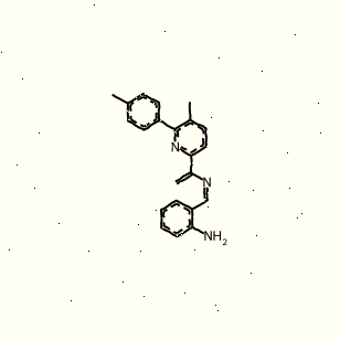 C=C(/N=C\c1ccccc1N)c1ccc(C)c(-c2ccc(C)cc2)n1